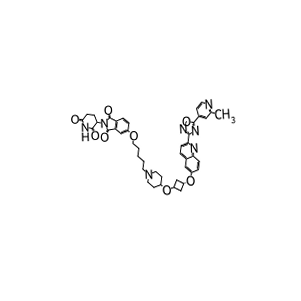 Cc1cc(-c2nc(-c3ccc4cc(O[C@H]5C[C@H](OC6CCN(CCCCCOc7ccc8c(c7)C(=O)N(C7CCC(=O)NC7=O)C8=O)CC6)C5)ccc4n3)no2)ccn1